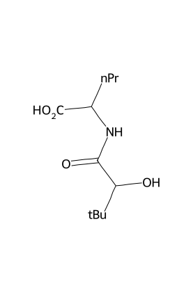 CCCC(NC(=O)C(O)C(C)(C)C)C(=O)O